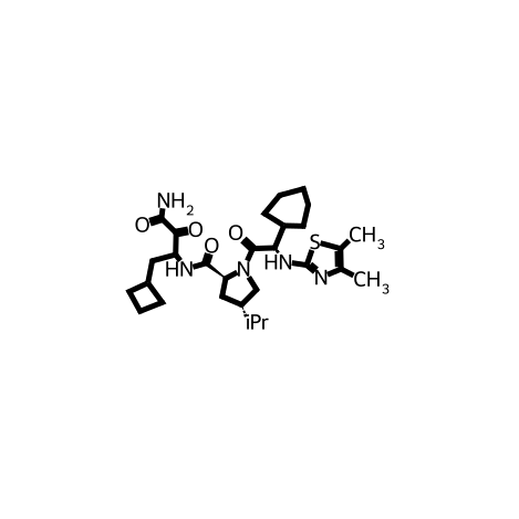 Cc1nc(N[C@H](C(=O)N2C[C@H](C(C)C)C[C@H]2C(=O)NC(CC2CCC2)C(=O)C(N)=O)C2CCCCC2)sc1C